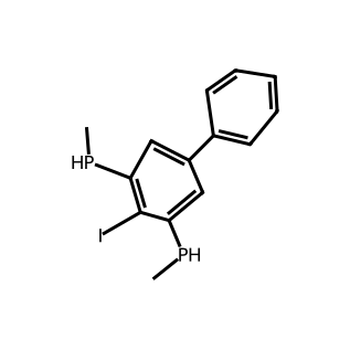 CPc1cc(-c2ccccc2)cc(PC)c1I